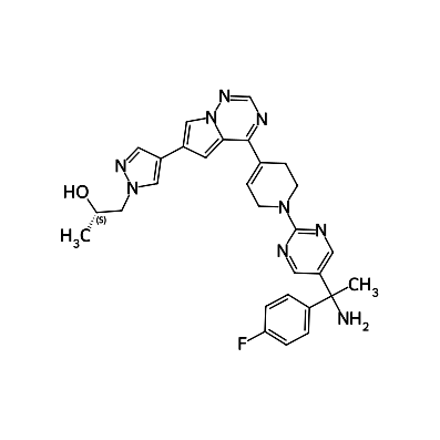 C[C@H](O)Cn1cc(-c2cc3c(C4=CCN(c5ncc(C(C)(N)c6ccc(F)cc6)cn5)CC4)ncnn3c2)cn1